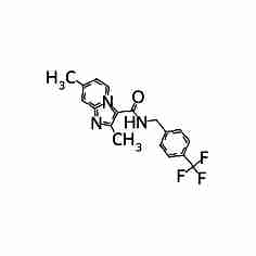 Cc1ccn2c(C(=O)NCc3ccc(C(F)(F)F)cc3)c(C)nc2c1